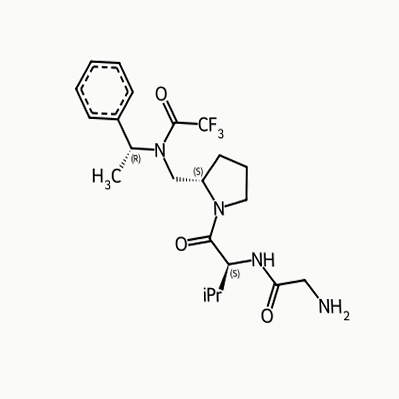 CC(C)[C@H](NC(=O)CN)C(=O)N1CCC[C@H]1CN(C(=O)C(F)(F)F)[C@H](C)c1ccccc1